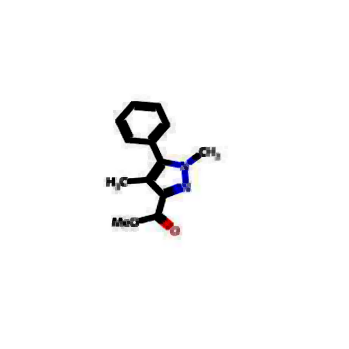 COC(=O)c1nn(C)c(-c2ccccc2)c1C